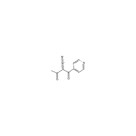 CC(=O)C(=[N+]=[N-])C(=O)c1ccncc1